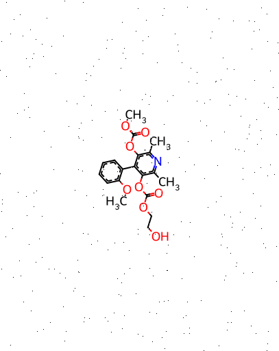 COC(=O)Oc1c(C)nc(C)c(OC(=O)OCCO)c1-c1ccccc1OC